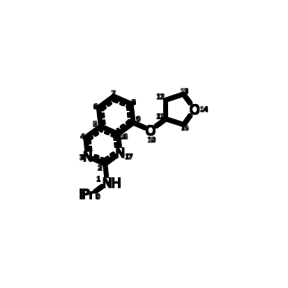 CC(C)Nc1ncc2cccc(OC3CCOC3)c2n1